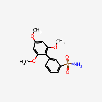 COc1cc(OC)c(-c2cccc(S(N)(=O)=O)c2)c(OC)c1